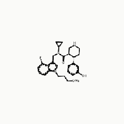 COCCCn1cc(CN(C(=O)[C@H]2CNCC[C@@H]2c2cccc(O)c2)C2CC2)c2c(F)cccc21